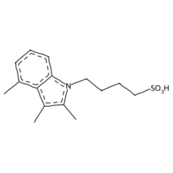 Cc1cccc2c1c(C)c(C)n2CCCCS(=O)(=O)O